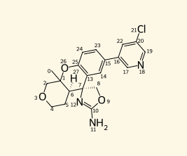 CC12COCC[C@@H]1[C@@]1(COC(N)=N1)c1cc(-c3cncc(Cl)c3)ccc1O2